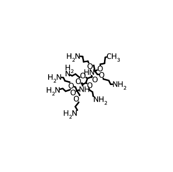 CCCCOC(COCCCN)(COCCCN)NC(=O)C(OCCCN)C(OCCCN)C(=O)NC(COCCCN)(COCCCN)OCCCN